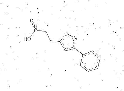 O=[PH](O)CCc1cc(-c2ccccc2)no1